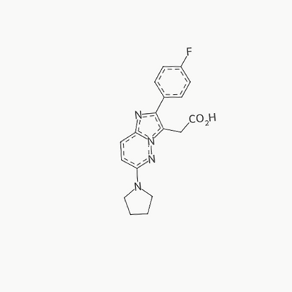 O=C(O)Cc1c(-c2ccc(F)cc2)nc2ccc(N3CCCC3)nn12